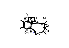 CC1=C(C)[C@H]2[C@H](C)NC(=O)[C@]23C(=O)C[C@H](O)[C@]2(C)O[C@@H]2[C@@H](C)C/C=C/[C@H]3[C@@H]1O